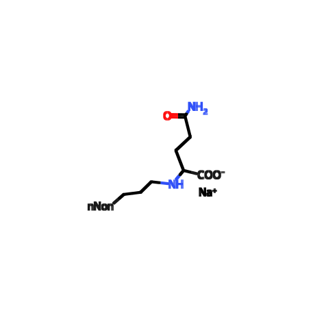 CCCCCCCCCCCCNC(CCC(N)=O)C(=O)[O-].[Na+]